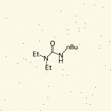 [CH2]CCCNC(=O)N(CC)CC